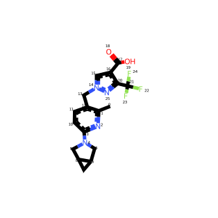 Cc1nc(N2CC3CC3C2)ccc1Cn1cc(C(=O)O)c(C(F)(F)F)n1